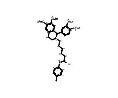 COc1ccc(C2c3cc(OC)c(OC)cc3CCN2CCCCCC(C#N)Sc2ccc(C)cc2)cc1OC